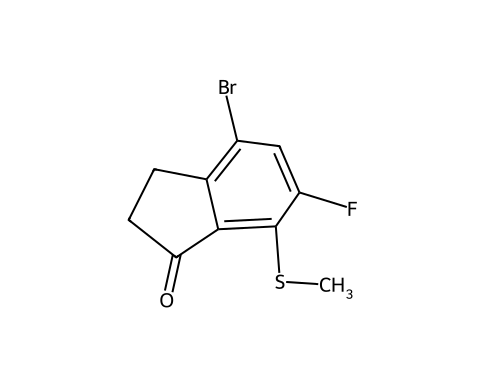 CSc1c(F)cc(Br)c2c1C(=O)CC2